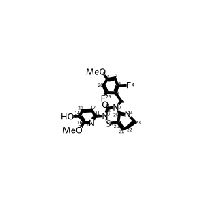 COc1cc(F)c(CN2C(=O)N(c3ccc(O)c(OC)n3)Sc3cccnc32)c(F)c1